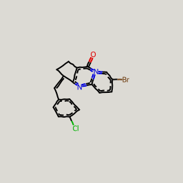 O=c1c2c(nc3ccc(Br)cn13)/C(=C\c1ccc(Cl)cc1)CC2